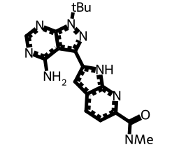 CNC(=O)c1ccc2cc(-c3nn(C(C)(C)C)c4ncnc(N)c34)[nH]c2n1